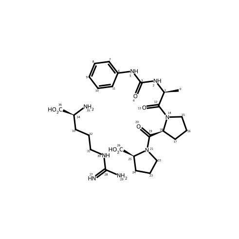 C[C@H](NC(=O)Nc1ccccc1)C(=O)N1CCC[C@H]1C(=O)N1CCC[C@H]1C(=O)O.N=C(N)NCCC[C@H](N)C(=O)O